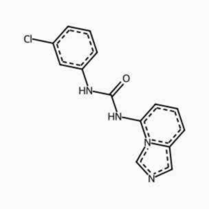 O=C(Nc1cccc(Cl)c1)Nc1cccc2cncn12